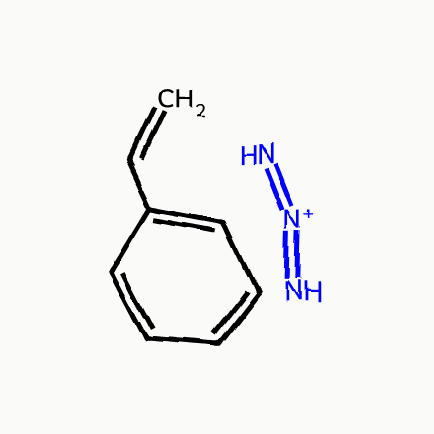 C=Cc1ccccc1.N=[N+]=N